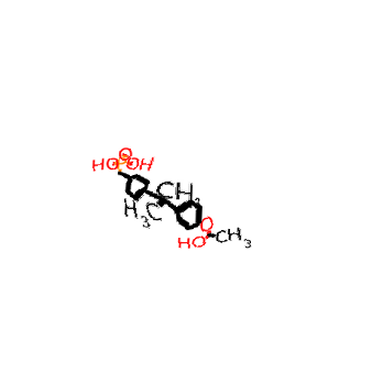 CC(O)Oc1ccc(C(C)(C)c2ccc(CP(=O)(O)O)cc2)cc1